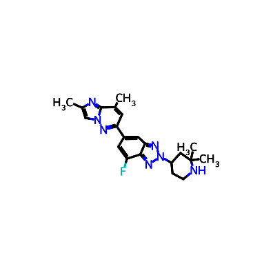 Cc1cn2nc(-c3cc(F)c4nn(C5CCNC(C)(C)C5)nc4c3)cc(C)c2n1